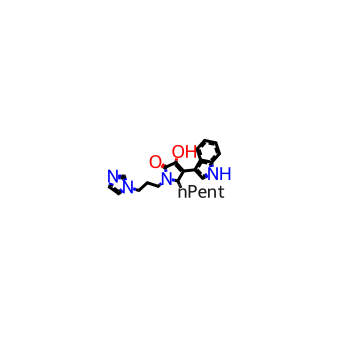 CCCCCC1C(c2c[nH]c3ccccc23)=C(O)C(=O)N1CCCn1ccnc1